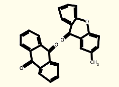 Cc1ccc2oc3ccccc3c(=O)c2c1.O=C1c2ccccc2C(=O)c2ccccc21